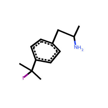 CC(N)Cc1ccc(C(C)(C)I)cc1